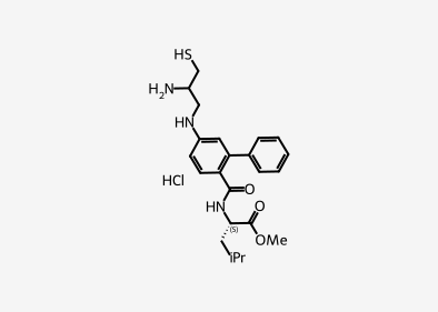 COC(=O)[C@H](CC(C)C)NC(=O)c1ccc(NCC(N)CS)cc1-c1ccccc1.Cl